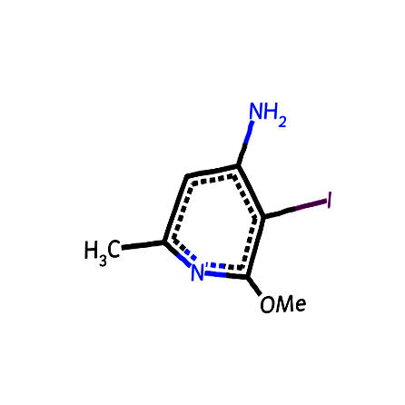 COc1nc(C)cc(N)c1I